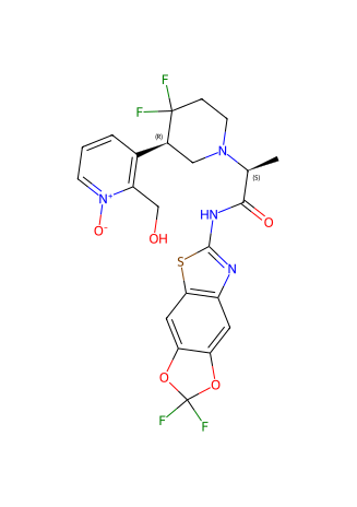 C[C@@H](C(=O)Nc1nc2cc3c(cc2s1)OC(F)(F)O3)N1CCC(F)(F)[C@H](c2ccc[n+]([O-])c2CO)C1